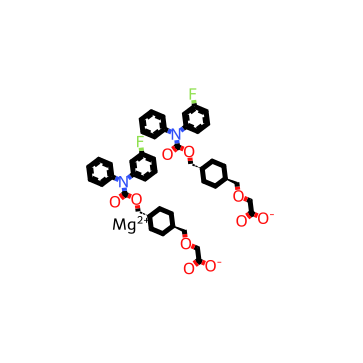 O=C([O-])COC[C@H]1CC[C@H](COC(=O)N(c2ccccc2)c2cccc(F)c2)CC1.O=C([O-])COC[C@H]1CC[C@H](COC(=O)N(c2ccccc2)c2cccc(F)c2)CC1.[Mg+2]